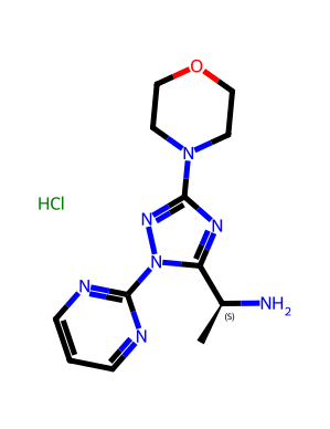 C[C@H](N)c1nc(N2CCOCC2)nn1-c1ncccn1.Cl